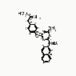 CCN(c1ccc2ccccc2c1)c1nc(N)nc(Oc2ccc(C[C@H](N)C(=O)O)cc2)n1